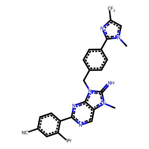 CC(C)c1cc(C#N)ccc1-c1ncc2c(n1)n(Cc1ccc(-c3nc(C(F)(F)F)cn3C)cc1)c(=N)n2C